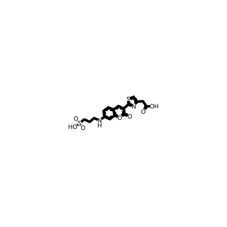 O=C(O)Cc1csc(-c2cc3ccc(NCCCS(=O)(=O)O)cc3oc2=O)n1